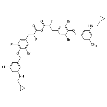 Cc1cc(COc2c(Br)cc(CC(F)C(=O)OC(=O)C(F)Cc3cc(Br)c(OCc4cc(Cl)cc(NCC5CC5)c4)c(Br)c3)cc2Br)cc(NCC2CC2)c1